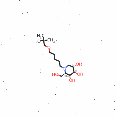 CC(C)(C)COCCCCCN1C[C@H](O)[C@@H](O)[C@H](O)[C@H]1CO